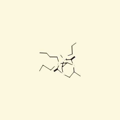 CCCCN1C(=O)N2CC(C)N3C(=O)N(C)[C@@]2(OCCC)[C@]13OCCC